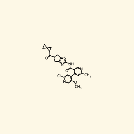 COc1cnc(Cl)cc1-c1cc(C)ncc1C(=O)Nc1nc2c(s1)CN(C(=O)[C@@H]1CC13CC3)C2